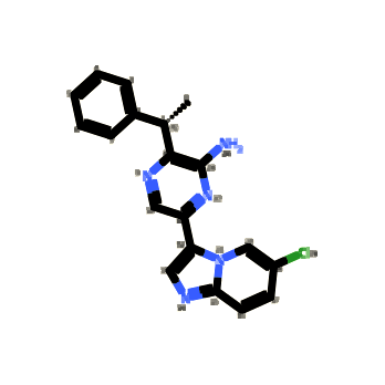 C[C@@H](c1ccccc1)c1ncc(-c2cnc3ccc(Cl)cn23)nc1N